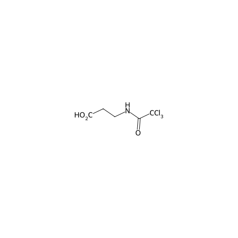 O=C(O)CCNC(=O)C(Cl)(Cl)Cl